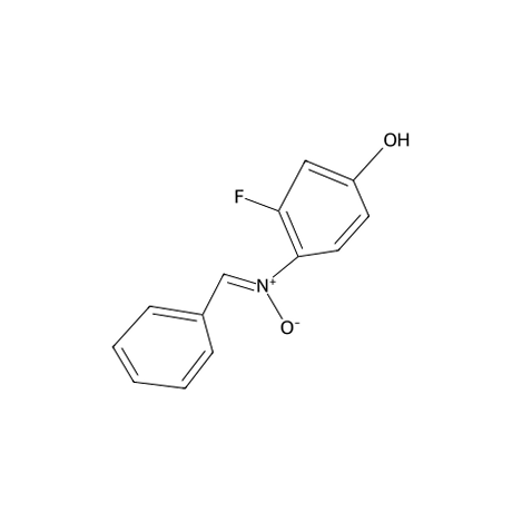 [O-][N+](=Cc1ccccc1)c1ccc(O)cc1F